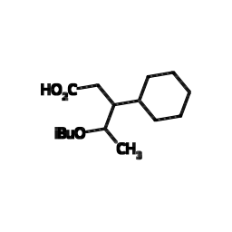 CC(C)COC(C)C(CC(=O)O)C1CCCCC1